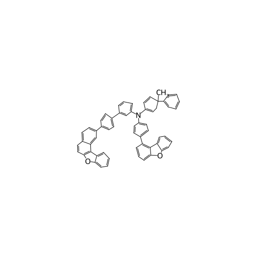 CC1(c2ccccc2)C=CC(N(c2ccc(-c3cccc4oc5ccccc5c34)cc2)c2cccc(-c3ccc(-c4ccc5ccc6oc7ccccc7c6c5c4)cc3)c2)=CC1